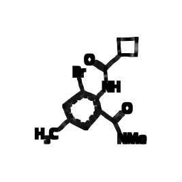 CNC(=O)c1cc(C)cc(Br)c1NC(=O)C1CCC1